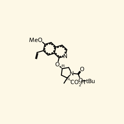 C=Cc1cc2c(O[C@H]3CN(C(=O)OC(C)(C)C)[C@](C)(C(=O)O)C3)nccc2cc1OC